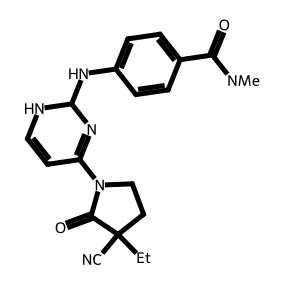 CCC1(C#N)CCN(C2=NC(Nc3ccc(C(=O)NC)cc3)NC=C2)C1=O